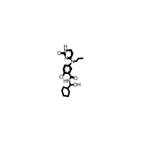 CCCN(c1ccc(Cl)c(C(=O)NC(O)C2CCCCC2)c1)c1cc[nH]c(=O)n1